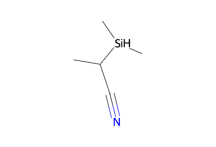 CC(C#N)[SiH](C)C